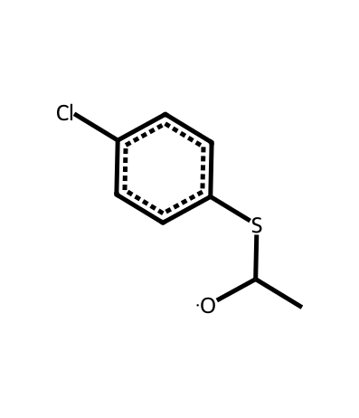 CC([O])Sc1ccc(Cl)cc1